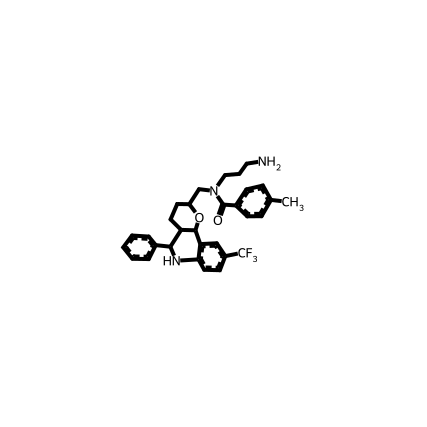 Cc1ccc(C(=O)N(CCCN)CC2CCC3C(c4ccccc4)Nc4ccc(C(F)(F)F)cc4C3O2)cc1